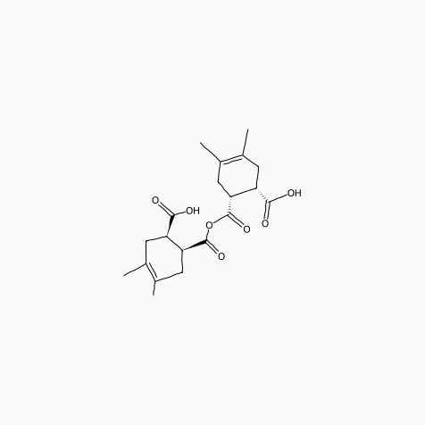 CC1=C(C)C[C@@H](C(=O)O)[C@@H](C(=O)OC(=O)[C@@H]2CC(C)=C(C)C[C@@H]2C(=O)O)C1